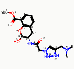 CCCCOC(=O)c1cccc2c1OB(O)[C@@H](NC(=O)CN1C=C(CN(C)C)NN1)C2